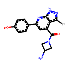 CCc1n[nH]c2nc(-c3ccc(O)cc3)cc(C(=O)N3CC(N)C3)c12